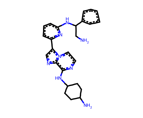 NCC(Nc1cccc(-c2cnc3c(NC4CCC(N)CC4)nccn23)n1)c1ccccc1